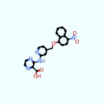 O=C(O)c1nccnc1Nc1cc(COc2ccc([N+](=O)[O-])c3ccccc23)ccn1